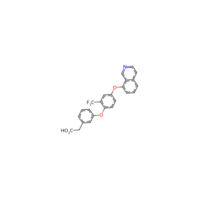 O=C(O)Cc1cccc(Oc2ccc(Oc3cccc4ccncc34)cc2C(F)(F)F)c1